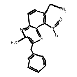 Cc1nc2ccc(CN)c([N+](=O)[O-])c2nc1-c1ccccc1